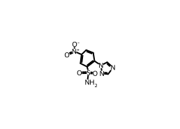 NS(=O)(=O)c1cc([N+](=O)[O-])ccc1-n1cncn1